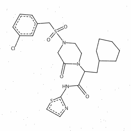 O=C(Nc1nccs1)C(CC1CCCCC1)N1CCN(S(=O)(=O)Cc2cccc(Cl)c2)CC1=O